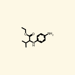 CCOC(=O)C(Nc1ccc(N)cc1)C(C)C